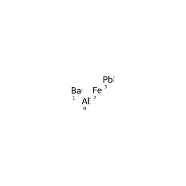 [Al].[Ba].[Fe].[Pb]